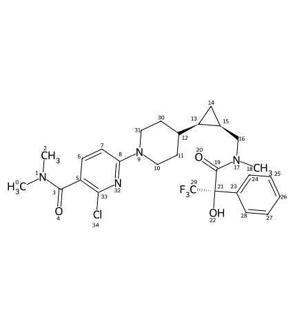 CN(C)C(=O)c1ccc(N2CCC([C@H]3C[C@H]3CN(C)C(=O)[C@](O)(c3ccccc3)C(F)(F)F)CC2)nc1Cl